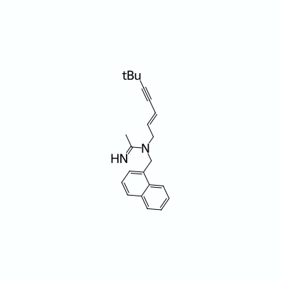 CC(=N)N(C/C=C/C#CC(C)(C)C)Cc1cccc2ccccc12